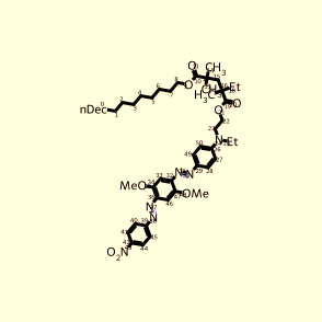 CCCCCCCCCCCCCCCCCCOC(=O)C(C)(C)CC(C)(CC)C(=O)OCCN(CC)c1ccc(/N=N/c2cc(OC)c(/N=N/c3ccc([N+](=O)[O-])cc3)cc2OC)cc1